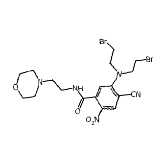 N#Cc1cc([N+](=O)[O-])c(C(=O)NCCN2CCOCC2)cc1N(CCBr)CCBr